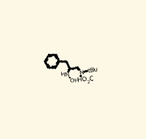 CC(C)(C)N(CC(Cc1ccccc1)NO)C(=O)O